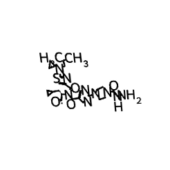 CC(C)CN(c1nc(C(=O)N(C(=O)c2cnc(N3CCN(C(=O)NN)CC3)nc2)[C@H]([C]=O)CC2CC2)cs1)C1CC1